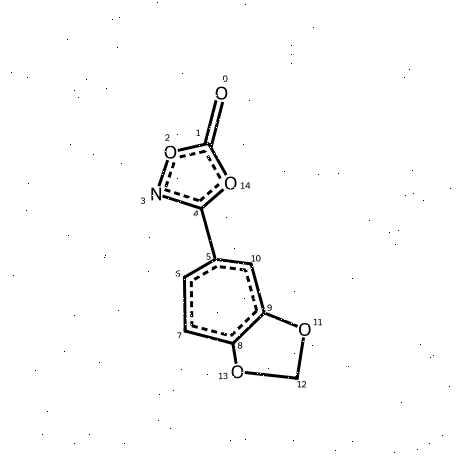 O=c1onc(-c2ccc3c(c2)OCO3)o1